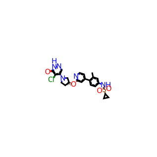 Cc1cc(NS(=O)(=O)C2CC2)ccc1-c1ccnc(O[C@@H]2CCN(c3cn[nH]c(=O)c3Cl)C2)c1